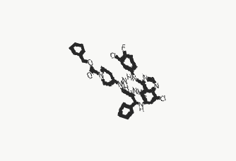 N/C(=C\N(N)C1CCN(C(=O)OCc2ccccc2)CC1)C(Nc1cc(Cl)c2ncnc(Nc3ccc(F)c(Cl)c3)c2c1)c1ccccc1